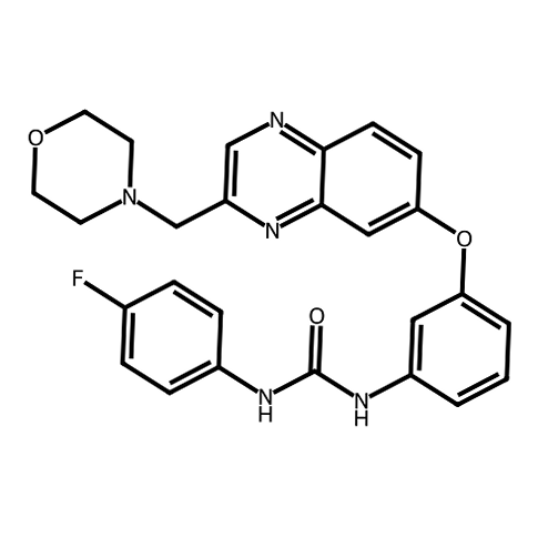 O=C(Nc1ccc(F)cc1)Nc1cccc(Oc2ccc3ncc(CN4CCOCC4)nc3c2)c1